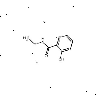 CCNC(=O)c1ccccc1O